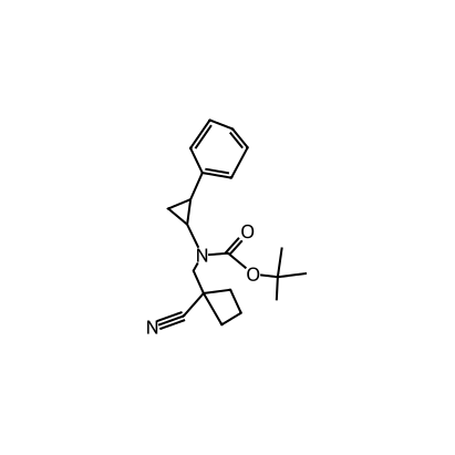 CC(C)(C)OC(=O)N(CC1(C#N)CCC1)C1CC1c1ccccc1